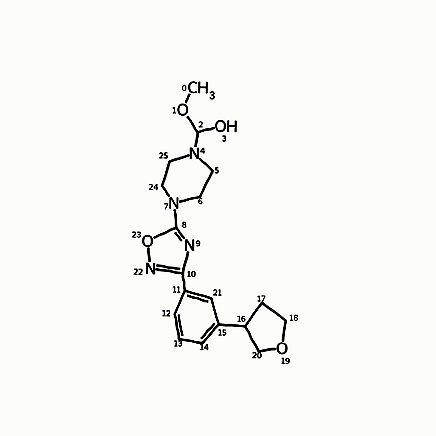 COC(O)N1CCN(c2nc(-c3cccc(C4CCOC4)c3)no2)CC1